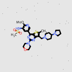 COc1ncc(-c2nc(N3CCOCC3)nc3c(CN4CCC(N5CCCC5)CC4)c(C)sc23)cc1NS(C)(=O)=O